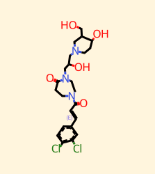 O=C(/C=C/c1ccc(Cl)c(Cl)c1)N1CCC(=O)N(CC(O)CN2CCC(O)C(CO)C2)CC1